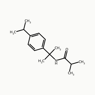 CC(C)C(=O)NC(C)(C)c1ccc(C(C)C)cc1